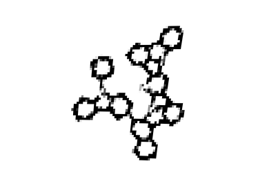 c1ccc(-n2c3ccccc3c3cc(-c4cc5ccccc5c5c6cccc7c8cc9c(nc8n(c45)c76)c4cccc5c6ccccc6n9c54)ccc32)cc1